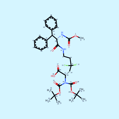 COC(=O)N[C@H](C(=O)NCCC(F)(F)C[C@@H](C(=O)O)N(C(=O)OC(C)(C)C)C(=O)OC(C)(C)C)C(c1ccccc1)c1ccccc1